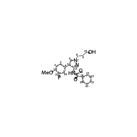 COc1ccc(-c2cn(CCCO)nc2NS(=O)(=O)c2ccccc2)cc1F